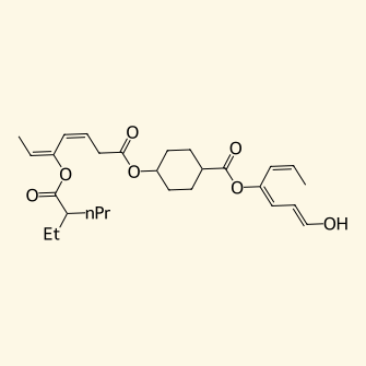 C\C=C/C(=C\C=C\O)OC(=O)C1CCC(OC(=O)C/C=C\C(=C/C)OC(=O)C(CC)CCC)CC1